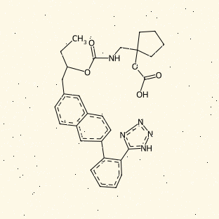 CCC(Cc1ccc2cc(-c3ccccc3-c3nnn[nH]3)ccc2c1)OC(=O)NCC1(OC(=O)O)CCCC1